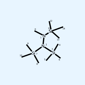 CN(N([Si](C)(C)C)[Si](C)(C)C)[Si](C)(C)C